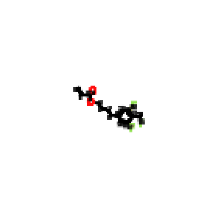 C=CC(=O)OCCCCc1cc(F)c(CF)c(F)c1